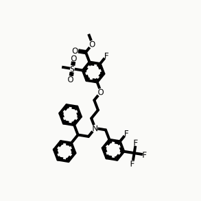 COC(=O)c1c(F)cc(OCCCN(Cc2cccc(C(F)(F)F)c2F)CC(c2ccccc2)c2ccccc2)cc1S(C)(=O)=O